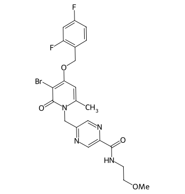 COCCNC(=O)c1cnc(Cn2c(C)cc(OCc3ccc(F)cc3F)c(Br)c2=O)cn1